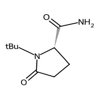 CC(C)(C)N1C(=O)CC[C@H]1C(N)=O